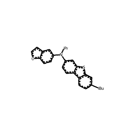 CCC(C)c1ccc2c(c1)sc1cc(N(c3ccc4occc4c3)C(C)C)ccc12